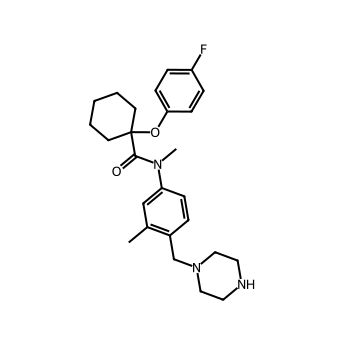 Cc1cc(N(C)C(=O)C2(Oc3ccc(F)cc3)CCCCC2)ccc1CN1CCNCC1